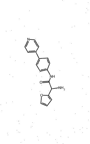 NC(C(=O)Nc1ccc(-c2ccncc2)cc1)c1ccco1